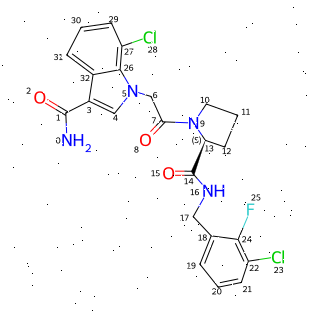 NC(=O)c1cn(CC(=O)N2CCC[C@H]2C(=O)NCc2cccc(Cl)c2F)c2c(Cl)cccc12